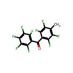 Cc1c(F)c(F)c(C(=O)c2c(F)c(F)c(F)c(F)c2F)c(F)c1F